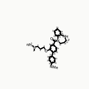 CCCN(C)CCCOc1cc(C(=O)N2CC[C@@H](C)Nc3ccccc32)ccc1-c1ccc(NC)cc1